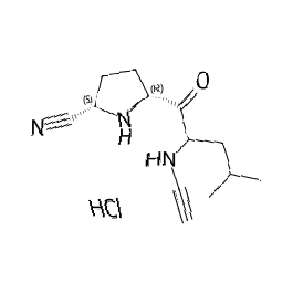 C#CNC(CC(C)C)C(=O)[C@H]1CC[C@@H](C#N)N1.Cl